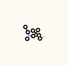 Fc1cccc2c3c(ccc12)C(c1ccccc1)(c1ccccc1)c1cc(N(c2ccccc2)c2ccc(-c4ccccc4)cc2)ccc1-3